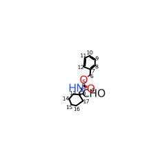 O=CC1(NC(=O)OCc2ccccc2)CCCCC1